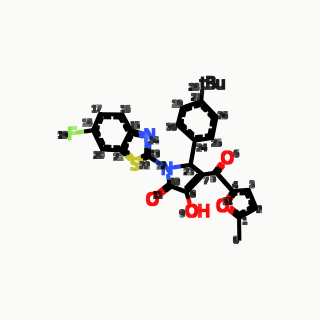 Cc1ccc(C(=O)C2=C(O)C(=O)N(c3nc4ccc(F)cc4s3)C2c2ccc(C(C)(C)C)cc2)o1